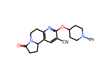 CC(C)N1CCC(Oc2nc3c(cc2C#N)C2CCC(=O)N2CC3)CC1